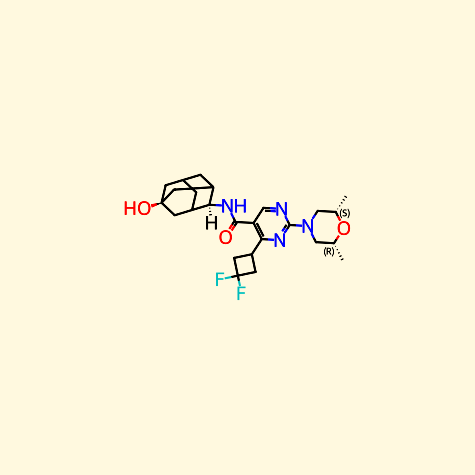 C[C@@H]1CN(c2ncc(C(=O)N[C@H]3C4CC5CC3C[C@@](O)(C5)C4)c(C3CC(F)(F)C3)n2)C[C@H](C)O1